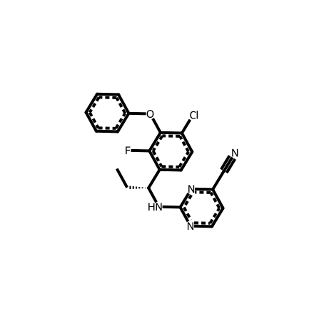 CC[C@@H](Nc1nccc(C#N)n1)c1ccc(Cl)c(Oc2ccccc2)c1F